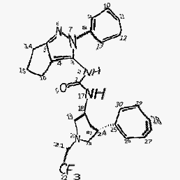 O=C(Nc1c2c(nn1-c1ccccc1)CCC2)NC1CN(CC(F)(F)F)C[C@H]1c1ccccc1